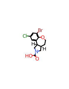 O=C(O)N1C[C@@H]2CCOc3c(Br)cc(Cl)cc3[C@H]2C1